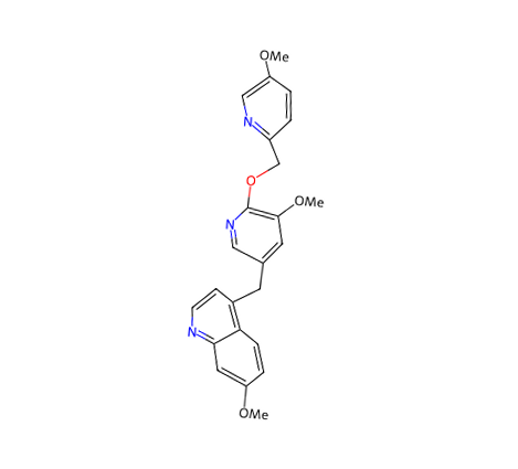 COc1ccc(COc2ncc(Cc3ccnc4cc(OC)ccc34)cc2OC)nc1